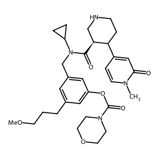 COCCCc1cc(CN(C(=O)[C@H]2CNCCC2c2ccn(C)c(=O)c2)C2CC2)cc(OC(=O)N2CCOCC2)c1